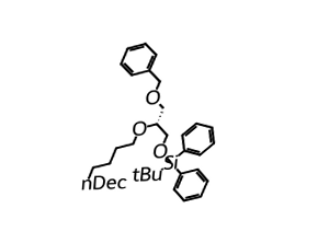 CCCCCCCCCCCCCCO[C@H](COCc1ccccc1)CO[Si](c1ccccc1)(c1ccccc1)C(C)(C)C